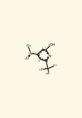 O=[N+]([O-])c1cc(O)nc(C(F)(F)F)c1